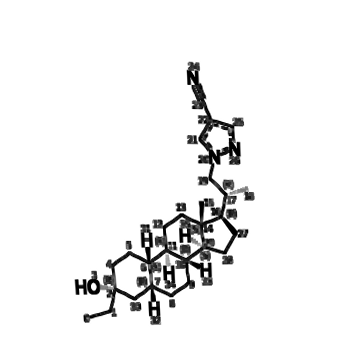 CC[C@@]1(O)CC[C@H]2[C@H](CC[C@@H]3[C@@H]2CC[C@]2(C)[C@@H]([C@@H](C)Cn4cc(C#N)cn4)CC[C@@H]32)C1